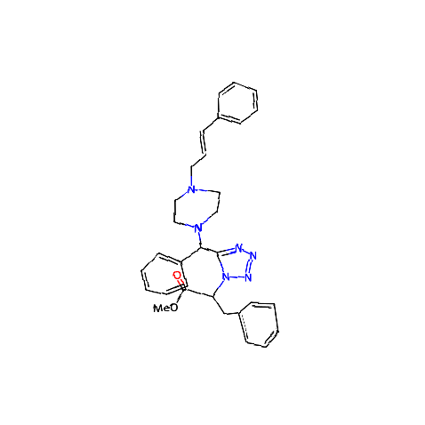 COC(=O)C(Cc1ccccc1)n1nnnc1C(c1ccccc1)N1CCN(CC=Cc2ccccc2)CC1